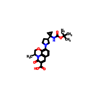 C[C@H]1COc2c(N3CC[C@@H](C4(NC(=O)OC(C)(C)C)CC4)C3)ccc3cc(C(=O)O)c(=O)n1c23